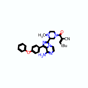 CN1CCN(C(=O)C(C#N)=CC(C)(C)C)CC1c1nc(-c2ccc(Oc3ccccc3)cc2)c2c(N)nccn12